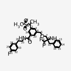 CN(c1cc(COCC(N)(Cc2ccccc2)C(F)F)cc(C(=O)NCCc2ccc(F)cc2)c1)S(C)(=O)=O